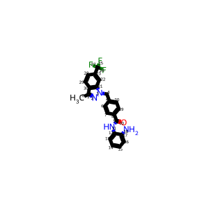 Cc1nn(Cc2ccc(C(=O)Nc3ccccc3N)cc2)c2cc(C(F)(F)F)ccc12